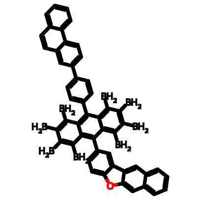 Bc1c(B)c(B)c2c(-c3ccc4oc5cc6ccccc6cc5c4c3)c3c(B)c(B)c(B)c(B)c3c(-c3ccc(-c4ccc5c(ccc6ccccc65)c4)cc3)c2c1B